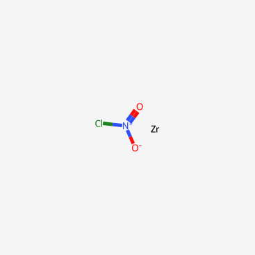 O=[N+]([O-])Cl.[Zr]